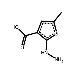 Cc1cc(C(=O)O)c(NN)s1